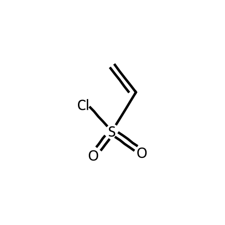 C=CS(=O)(=O)Cl